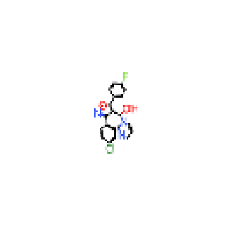 OC(c1c(-c2ccc(Cl)cc2)noc1-c1ccc(F)cc1)N1C=CC=NC1